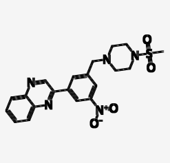 CS(=O)(=O)N1CCN(Cc2cc(-c3cnc4ccccc4n3)cc([N+](=O)[O-])c2)CC1